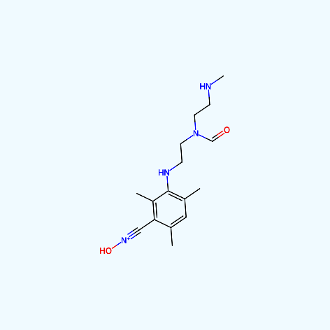 CNCCN(C=O)CCNc1c(C)cc(C)c(C#[N+]O)c1C